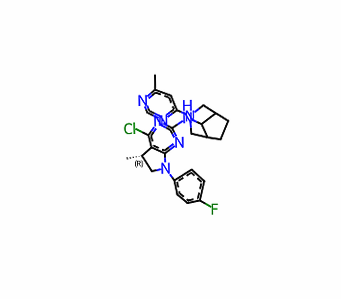 Cc1cc(N2CC3CCC(C2)C3Nc2nc(Cl)c3c(n2)N(c2ccc(F)cc2)C[C@@H]3C)ncn1